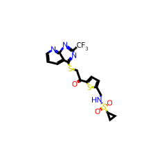 O=C(CSc1nc(C(F)(F)F)nc2ncccc12)c1ccc(CNS(=O)(=O)C2CC2)s1